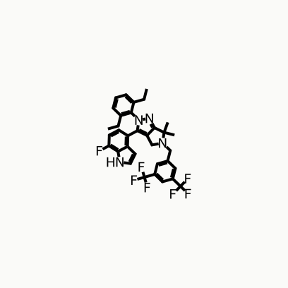 CCc1cccc(CC)c1-n1nc2c(c1-c1ccc(F)c3[nH]ccc13)CN(Cc1cc(C(F)(F)F)cc(C(F)(F)F)c1)C2(C)C